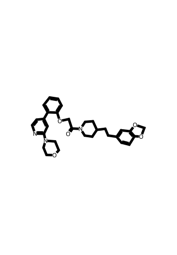 O=C(COc1ccccc1-c1ccnc(N2CCOCC2)c1)N1CCC(CCc2ccc3c(c2)OCO3)CC1